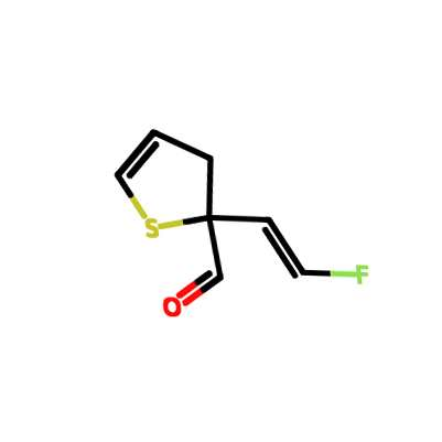 O=CC1(C=CF)CC=CS1